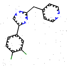 Clc1ccc(-c2c[nH]c(Cc3ccncc3)n2)cc1Cl